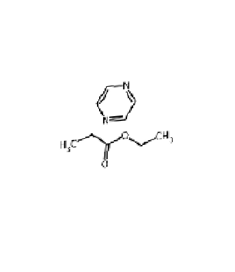 CCOC(=O)CC.c1cnccn1